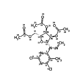 C=NN(c1nc(Cl)nc(Cl)c1C)[C@@H]1O[C@H](COC(C)=O)[C@@H](OC(C)=O)[C@H]1OC(C)=O